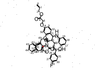 C=CCOC(=O)COc1ccc([C@@H](Nc2ccccc2)[C@@H](CC[C@H](O)c2ccc(F)cc2)C(=O)N2C(=O)OC[C@@H]2Cc2ccccc2)c(OCc2ccccc2)c1